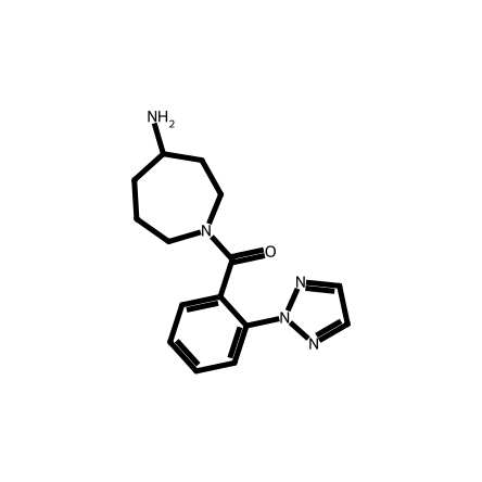 NC1CCCN(C(=O)c2ccccc2-n2nccn2)CC1